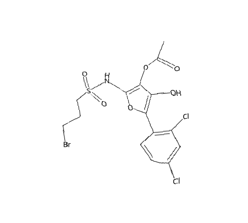 CC(=O)Oc1c(NS(=O)(=O)CCCBr)oc(-c2ccc(Cl)cc2Cl)c1O